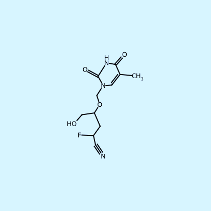 Cc1cn(COC(CO)CC(F)C#N)c(=O)[nH]c1=O